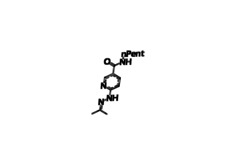 CCCCCNC(=O)c1ccc(NN=C(C)C)nc1